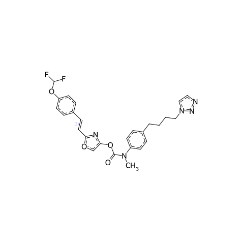 CN(C(=O)Oc1coc(/C=C/c2ccc(OC(F)F)cc2)n1)c1ccc(CCCCn2ccnn2)cc1